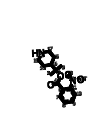 CC(C)(OC(=O)c1ccccc1[N+](=O)[O-])C1CCNCC1